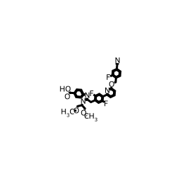 COCC(COC)n1c(Cc2cc(F)c(-c3cccc(OCc4ccc(C#N)cc4F)n3)cc2F)nc2ccc(C(=O)O)cc21